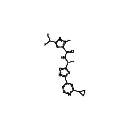 CC(NC(=O)c1cc(C(F)F)nn1C)c1nc(-c2ccnc(C3CC3)c2)no1